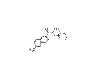 Cc1ccc2cc(C(=O)C(C)CN3CCCCC3)ccc2c1